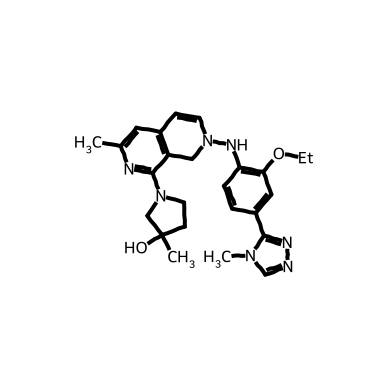 CCOc1cc(-c2nncn2C)ccc1NN1C=Cc2cc(C)nc(N3CCC(C)(O)C3)c2C1